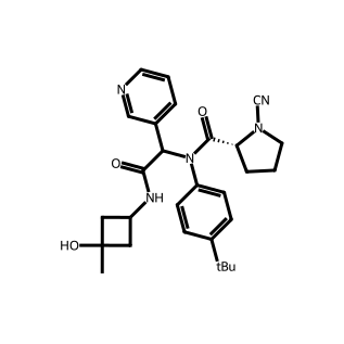 CC1(O)CC(NC(=O)C(c2cccnc2)N(C(=O)[C@H]2CCCN2C#N)c2ccc(C(C)(C)C)cc2)C1